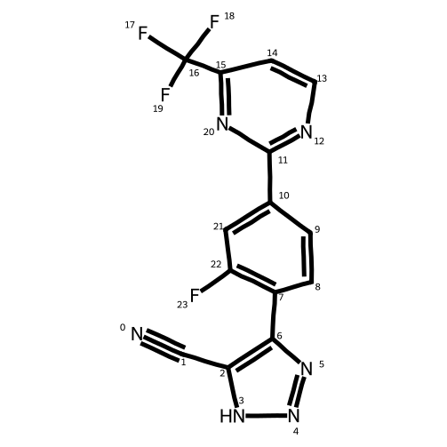 N#Cc1[nH]nnc1-c1ccc(-c2nccc(C(F)(F)F)n2)cc1F